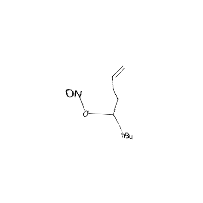 C=CCC(CCCC)ON=O